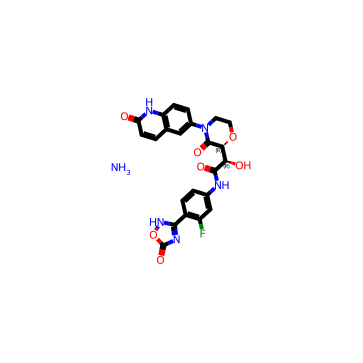 N.O=C(Nc1ccc(-c2nc(=O)o[nH]2)c(F)c1)[C@H](O)[C@H]1OCCN(c2ccc3[nH]c(=O)ccc3c2)C1=O